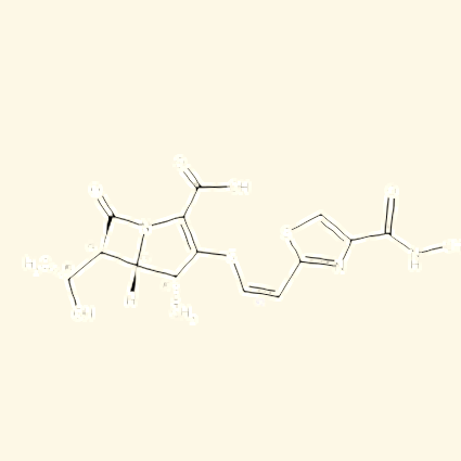 CNC(=O)c1csc(/C=C\SC2=C(C(=O)O)N3C(=O)[C@H]([C@@H](C)O)[C@H]3[C@H]2C)n1